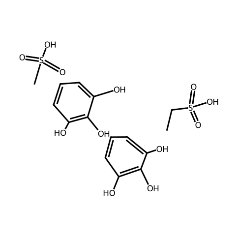 CCS(=O)(=O)O.CS(=O)(=O)O.Oc1cccc(O)c1O.Oc1cccc(O)c1O